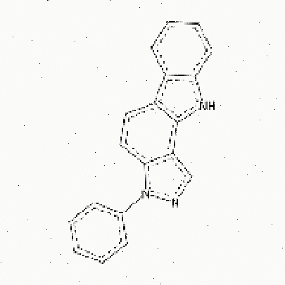 c1ccc(-n2ncc3c4[nH]c5ccccc5c4ccc32)cc1